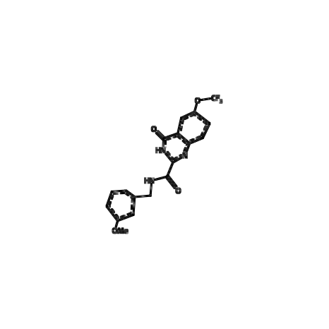 COc1cccc(CNC(=O)c2nc3ccc(OC(F)(F)F)cc3c(=O)[nH]2)c1